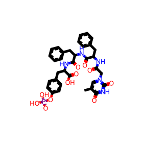 Cc1cn(CC(=O)NC(Cc2ccccc2)C(=O)NC(Cc2ccccc2)C(=O)NC(Cc2ccc(OP(=O)(O)O)cc2)C(=O)O)c(=O)[nH]c1=O